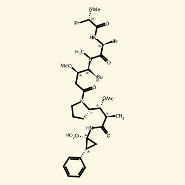 CC[C@H](C)[C@@H]([C@@H](CC(=O)N1CCC[C@H]1[C@H](OC)[C@@H](C)C(=O)N[C@@]1(C(=O)O)C[C@@H]1c1ccccc1)OC)N(C)C(=O)[C@@H](NC(=O)[C@@H](NC)C(C)C)C(C)C